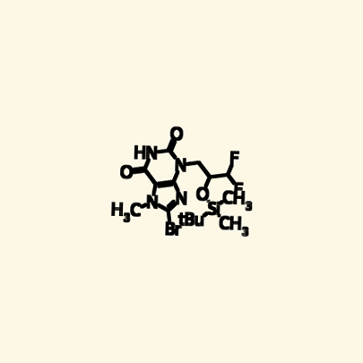 Cn1c(Br)nc2c1c(=O)[nH]c(=O)n2CC(O[Si](C)(C)C(C)(C)C)C(F)F